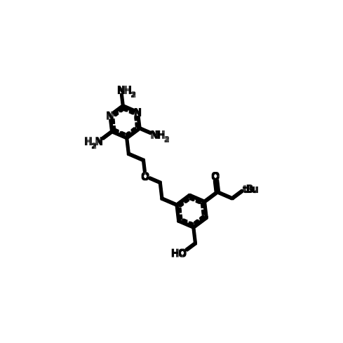 CC(C)(C)CC(=O)c1cc(CO)cc(CCOCCc2c(N)nc(N)nc2N)c1